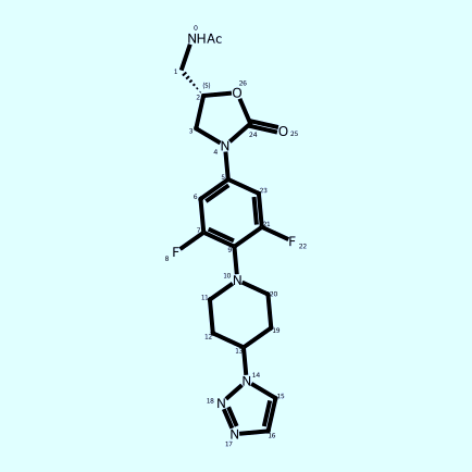 CC(=O)NC[C@H]1CN(c2cc(F)c(N3CCC(n4ccnn4)CC3)c(F)c2)C(=O)O1